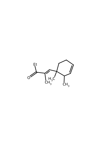 CCC(=O)/C(C)=C/C1(C)CCC=CC1C